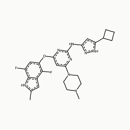 Cc1cc2c(F)c(Oc3cc(N4CCN(C)CC4)nc(Nc4cc(C5CCC5)[nH]n4)n3)cc(F)c2[nH]1